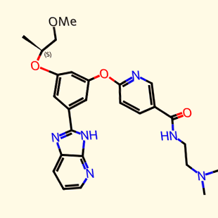 COC[C@H](C)Oc1cc(Oc2ccc(C(=O)NCCN(C)C)cn2)cc(-c2nc3cccnc3[nH]2)c1